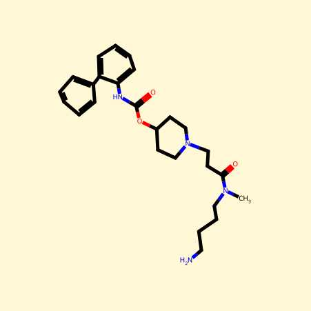 CN(CCCCN)C(=O)CCN1CCC(OC(=O)Nc2ccccc2-c2ccccc2)CC1